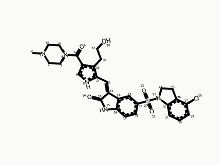 CN1CCN(C(=O)c2c[nH]c(/C=C3\C(=O)Nc4ccc(S(=O)(=O)N5CCc6c(Cl)cccc65)cc43)c2CCO)CC1